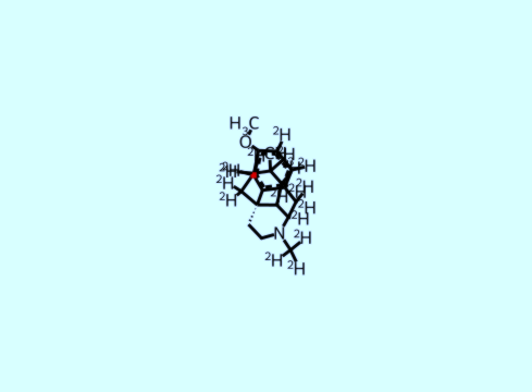 [2H]c1c([2H])c2c(c([2H])c1OC)[C@@]13CCN(C([2H])([2H])[2H])[C@@]([2H])(C2([2H])[2H])[C@@]1([2H])C([2H])([2H])C([2H])(C)C([2H])([2H])C3([2H])[2H]